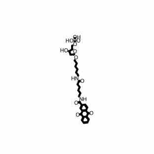 O=C(CCCCCNC(=O)c1ccc2c(c1)C(=O)c1ccccc1C2=O)NCCCCCCOC1CC(O)C(COP(=O)(O)O)O1